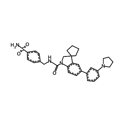 NS(=O)(=O)c1ccc(CNC(=O)N2CC3(CCCC3)c3cc(-c4cccc(N5CCCC5)c4)ccc32)cc1